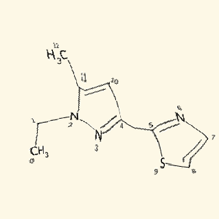 CCn1nc(-c2nccs2)cc1C